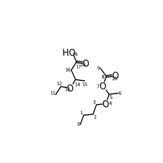 CCCCOC(C)OC(C)=O.CCOC(C)CC(=O)O